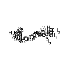 COC(=O)N[C@H](C(=O)N1CCC[C@H]1c1ncc(-c2ccc3cc(-c4ccc(-c5cnc(C6CCCN6C(=O)[C@@H](N)C6CCSCC6)[nH]5)cc4)ccc3c2)[nH]1)C(C)C